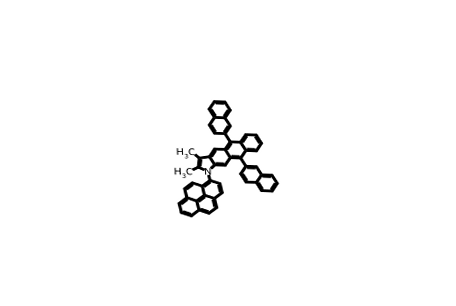 Cc1c(C)n(-c2ccc3ccc4cccc5ccc2c3c45)c2cc3c(-c4ccc5ccccc5c4)c4ccccc4c(-c4ccc5ccccc5c4)c3cc12